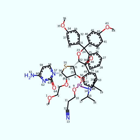 COCCO[C@@H]1[C@H](OP(OCCC#N)N(C(C)C)C(C)C)[C@@H](C(OC(c2ccccc2)(c2ccc(OC)cc2)c2ccc(OC)cc2)C(=O)c2ccccc2)S[C@H]1n1ccc(N)nc1=O